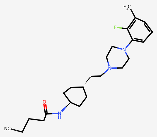 N#CCCCC(=O)N[C@H]1CC[C@H](CCN2CCN(c3cccc(C(F)(F)F)c3F)CC2)CC1